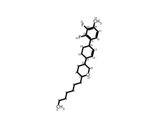 CCCCCCCC1CCC(C2C=CC(c3ccc(C)c(F)c3F)CC2)CO1